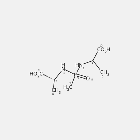 CC(NP(C)(=O)N[C@H](C)C(=O)O)C(=O)O